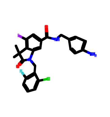 CC1(C)C(=O)N(Cc2c(F)cccc2Cl)c2cc(C(=O)NCc3ccc(N)cc3)cc(I)c21